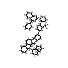 CC1(C)c2cc(-c3ccc4c(c3)c3ccc5c6ccccc6n(-c6ccccc6)c5c3n4-c3ccccc3)ccc2-c2c(-c3nc(-c4ccccc4)c4ccccc4n3)cccc21